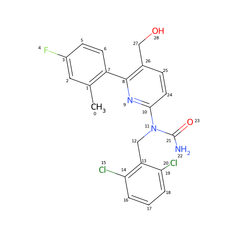 Cc1cc(F)ccc1-c1nc(N(Cc2c(Cl)cccc2Cl)C(N)=O)ccc1CO